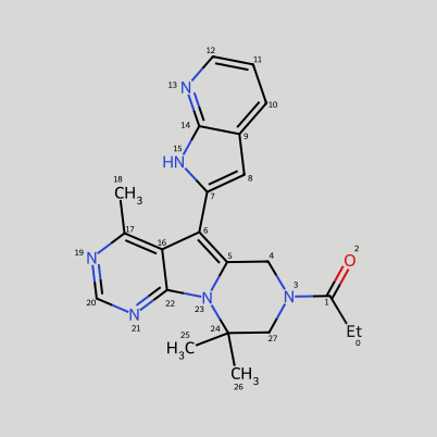 CCC(=O)N1Cc2c(-c3cc4cccnc4[nH]3)c3c(C)ncnc3n2C(C)(C)C1